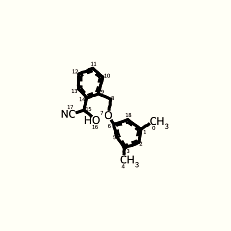 Cc1cc(C)cc(OCc2ccccc2C(O)C#N)c1